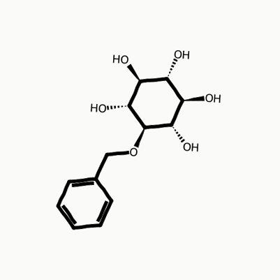 O[C@@H]1[C@@H](O)[C@H](O)[C@@H](OCc2ccccc2)[C@H](O)[C@H]1O